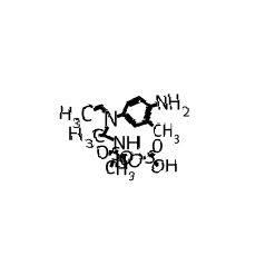 CCN(c1ccc(N)c(C)c1)C(C)NS(C)(=O)=O.O=S(O)O